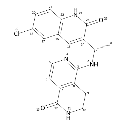 C[C@H](Nc1nccc2c1CCNC2=O)c1cc2cc(Cl)ccc2[nH]c1=O